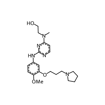 COc1ccc(Nc2nccc(N(C)CCO)n2)cc1OCCCN1CCCC1